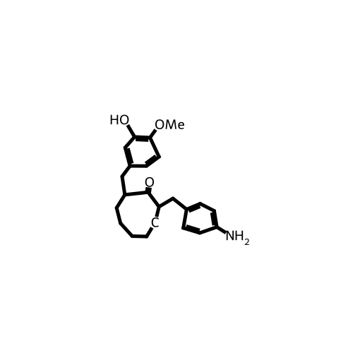 COc1ccc(CC2CCCCCC(Cc3ccc(N)cc3)C2=O)cc1O